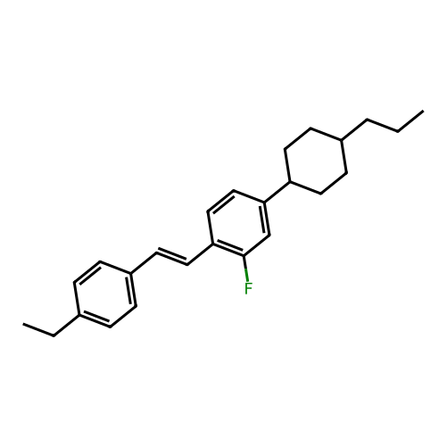 CCCC1CCC(c2ccc(C=Cc3ccc(CC)cc3)c(F)c2)CC1